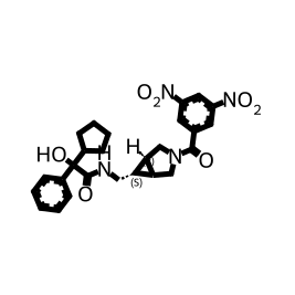 O=C(c1cc([N+](=O)[O-])cc([N+](=O)[O-])c1)N1CC2[C@H](CNC(=O)C(O)(c3ccccc3)C3CCCC3)[C@H]2C1